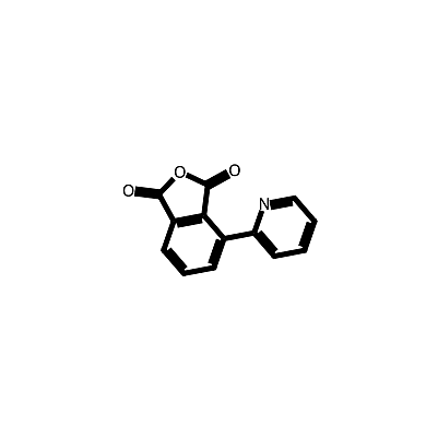 O=C1OC(=O)c2c1cccc2-c1ccccn1